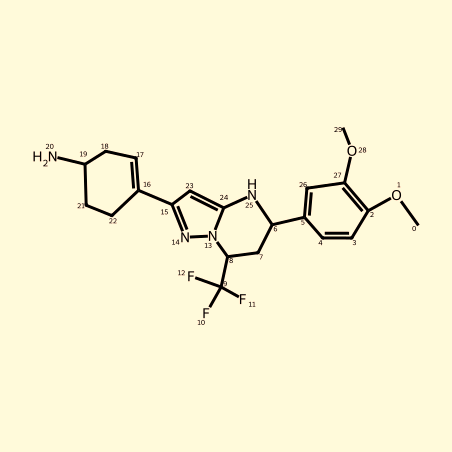 COc1ccc(C2CC(C(F)(F)F)n3nc(C4=CCC(N)CC4)cc3N2)cc1OC